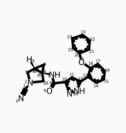 N#CN1C[C@@H]2C[C@]2(NC(=O)c2cc(-c3ccccc3Oc3ccccc3)[nH]n2)C1